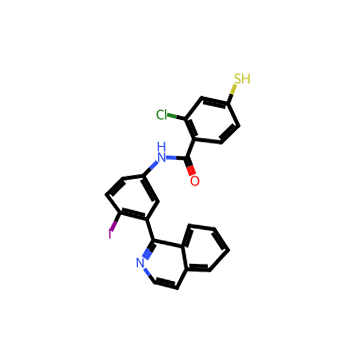 O=C(Nc1ccc(I)c(-c2nccc3ccccc23)c1)c1ccc(S)cc1Cl